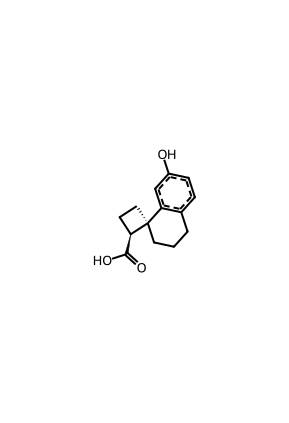 O=C(O)[C@H]1CC[C@]12CCCc1ccc(O)cc12